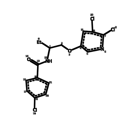 [CH2]CC(COc1cnc(Cl)c(Cl)c1)NC(=O)c1ccc(Cl)cc1